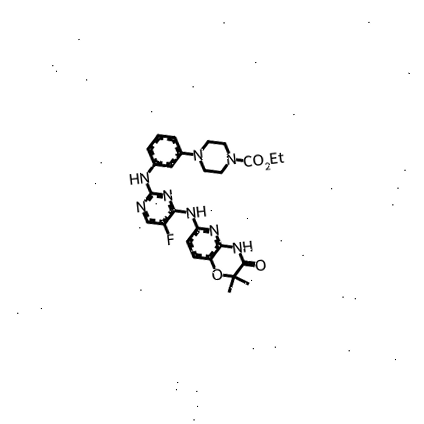 CCOC(=O)N1CCN(c2cccc(Nc3ncc(F)c(Nc4ccc5c(n4)NC(=O)C(C)(C)O5)n3)c2)CC1